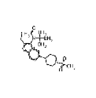 BC(B)(B)N(C=O)c1c(CC)nc2ccc(C3CCN(S(C)(=O)=O)CC3)cn12